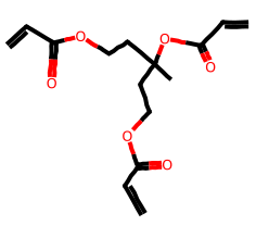 C=CC(=O)OCCC(C)(CCOC(=O)C=C)OC(=O)C=C